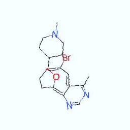 Cc1ncnc2/c1=C\C(Br)=C/CC/C=2OCC1CCN(C)CC1